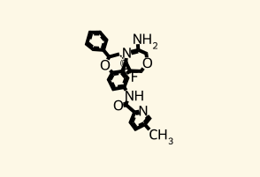 Cc1ccc(C(=O)Nc2ccc3c(c2)[C@@]2(CC(c4ccccc4)O3)N=C(N)COCC2(F)F)nc1